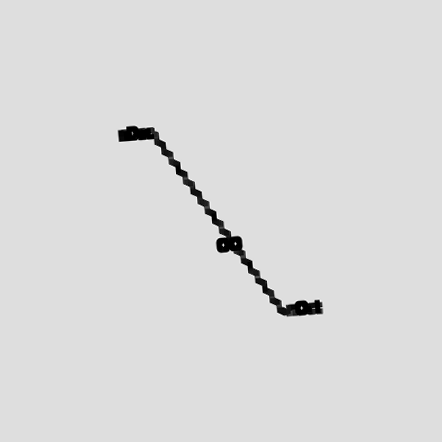 CCCCCCCC/C=C\CCCCCCCCCCCCOC(=O)CCCCCCCCCCCCCCCCCCCCCCCCCCCCCCC